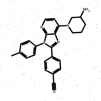 Cc1ccc(-n2c(-c3ccc(C#N)cc3)nc3c(N4CCCC(N)C4)ccnc32)cc1